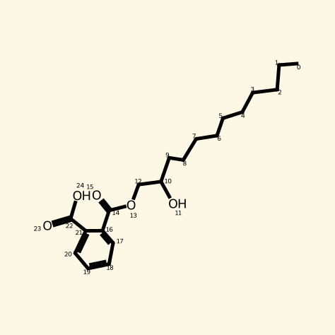 CCCCCCCCCCC(O)COC(=O)c1ccccc1C(=O)O